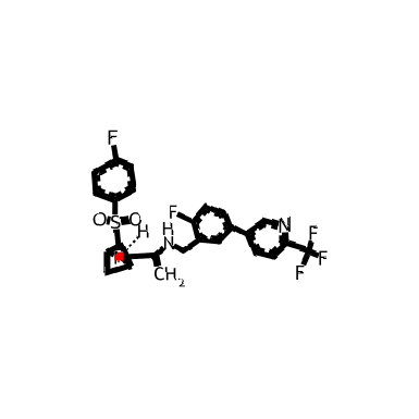 C=C(NCc1cc(-c2ccc(C(F)(F)F)nc2)ccc1F)[C@@H]1C2CC(C2)N1S(=O)(=O)c1ccc(F)cc1